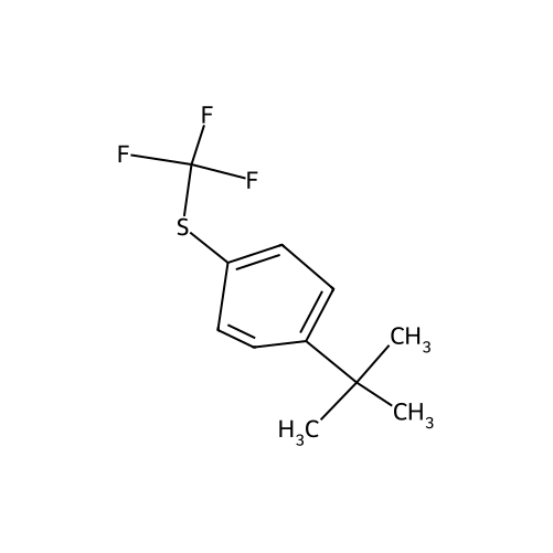 CC(C)(C)c1ccc(SC(F)(F)F)cc1